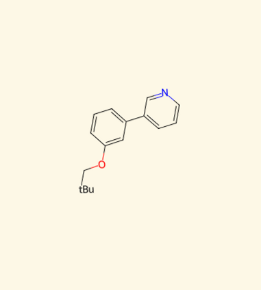 CC(C)(C)COc1cccc(-c2cccnc2)c1